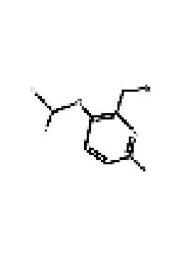 Cc1ccc(OC(F)F)c(CBr)n1